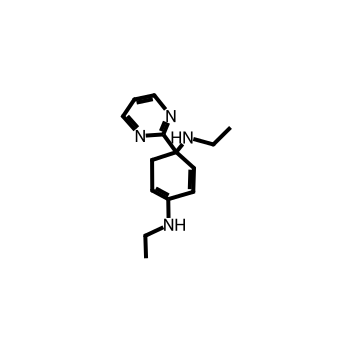 CCNC1=CCC(NCC)(c2ncccn2)C=C1